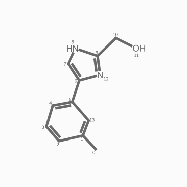 Cc1cccc(-c2c[nH]c(CO)n2)c1